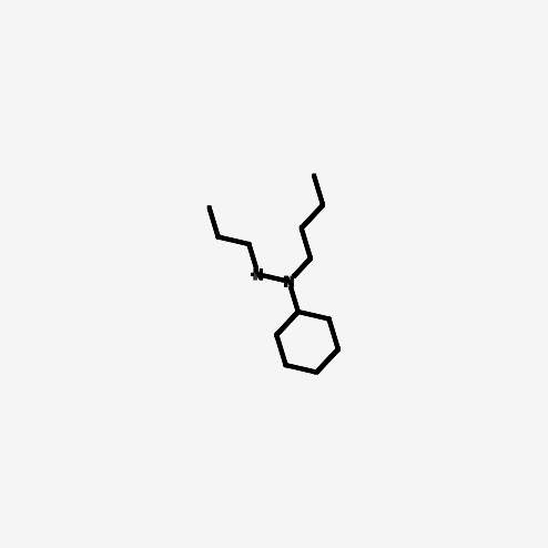 CCCCN([N]CCC)C1CCCCC1